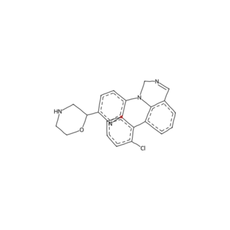 Clc1ccccc1-c1cccc2c1N(c1ccc(C3CNCCO3)nc1)CN=C2